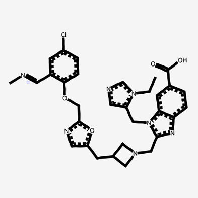 CCn1cncc1Cn1c(CN2CC(Cc3cnc(COc4ccc(Cl)cc4/C=N/C)o3)C2)nc2ccc(C(=O)O)cc21